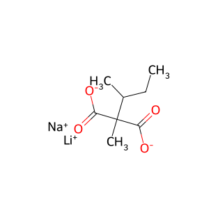 CCC(C)C(C)(C(=O)[O-])C(=O)[O-].[Li+].[Na+]